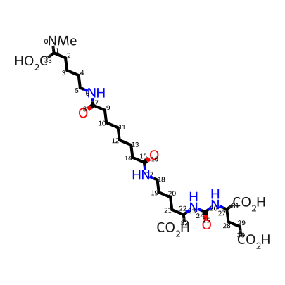 CNC(CCCCNC(=O)CCCCCCC(=O)NCCCCC(NC(=O)NC(CCC(=O)O)C(=O)O)C(=O)O)C(=O)O